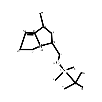 CC1CC(CO[Si](C)(C)C(C)(C)C)N2CCC=C12